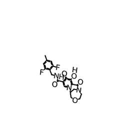 Cc1cc(F)c(CNC(=O)c2cn3c(c(O)c2=O)C(=O)N2CCOCC3C2)c(F)c1